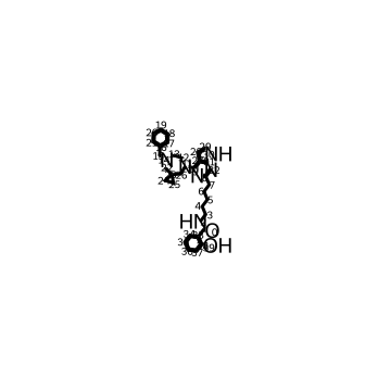 O=C(NCCCCCc1nc(N2CCN(Cc3ccccc3)CC3(CC3)C2)c2cc[nH]c2n1)c1ccccc1O